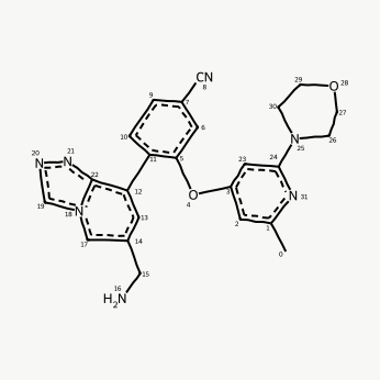 Cc1cc(Oc2cc(C#N)ccc2-c2cc(CN)cn3cnnc23)cc(N2CCOCC2)n1